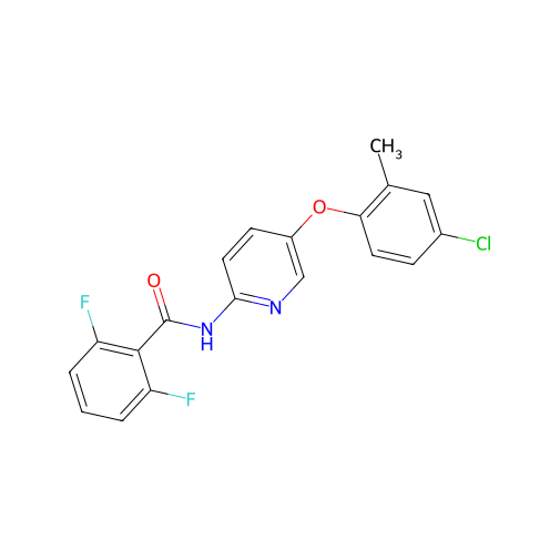 Cc1cc(Cl)ccc1Oc1ccc(NC(=O)c2c(F)cccc2F)nc1